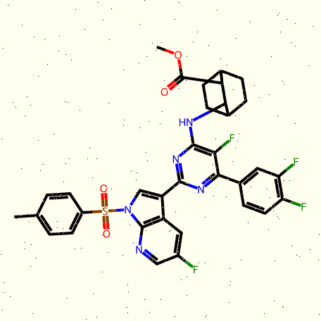 COC(=O)C1C2CCC(CC2)C1Nc1nc(-c2cn(S(=O)(=O)c3ccc(C)cc3)c3ncc(F)cc23)nc(-c2ccc(F)c(F)c2)c1F